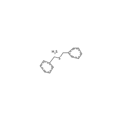 S.c1ccc(CSCc2ccccc2)cc1